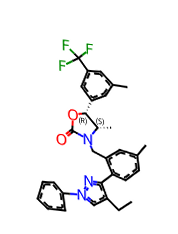 CCc1cn(-c2ccccc2)nc1-c1ccc(C)cc1CN1C(=O)O[C@H](c2cc(C)cc(C(F)(F)F)c2)[C@@H]1C